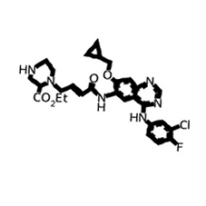 CCOC(=O)C1CNCCN1C/C=C/C(=O)Nc1cc2c(Nc3ccc(F)c(Cl)c3)ncnc2cc1OCC1CC1